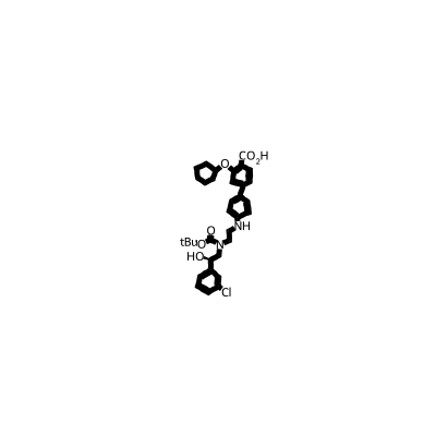 CC(C)(C)OC(=O)N(CCNc1ccc(-c2ccc(C(=O)O)c(OC3CCCCC3)c2)cc1)C[C@H](O)c1cccc(Cl)c1